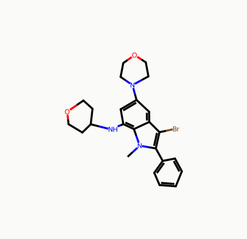 Cn1c(-c2ccccc2)c(Br)c2cc(N3CCOCC3)cc(NC3CCOCC3)c21